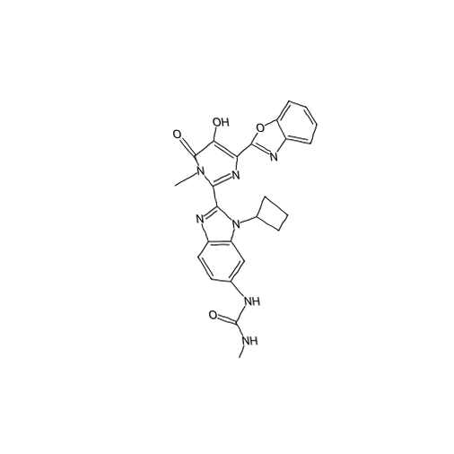 CNC(=O)Nc1ccc2nc(-c3nc(-c4nc5ccccc5o4)c(O)c(=O)n3C)n(C3CCC3)c2c1